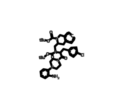 CC(C)(C)OC(=O)N1Cc2ccccc2CC1CN(C(=O)OC(C)(C)C)C(Cc1ccc(Cl)cc1)C(=O)N1CCN(c2ccccc2N)CC1